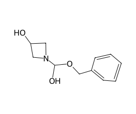 OC1CN(C(O)OCc2ccccc2)C1